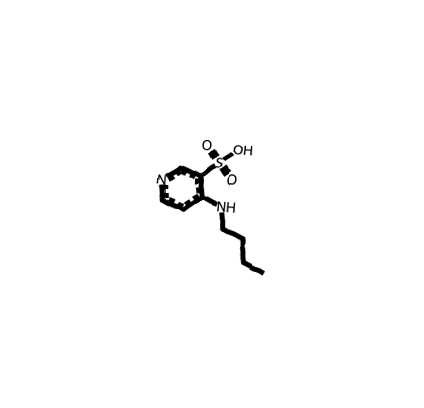 CCCCNc1ccncc1S(=O)(=O)O